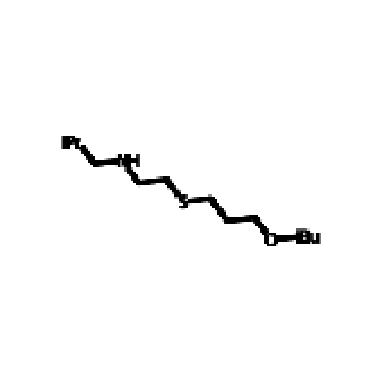 CCC(C)OCCCSCCNCC(C)C